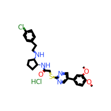 COc1ccc(-c2cnc(SCC(=O)N[C@@H]3CCC[C@H]3NCCc3ccc(Cl)cc3)nc2)cc1OC.Cl